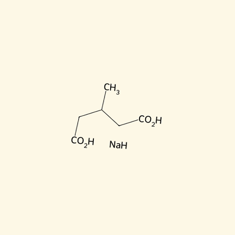 CC(CC(=O)O)CC(=O)O.[NaH]